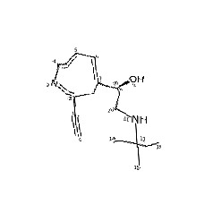 C#Cc1ncccc1[C@@H](O)CNC(C)(C)C